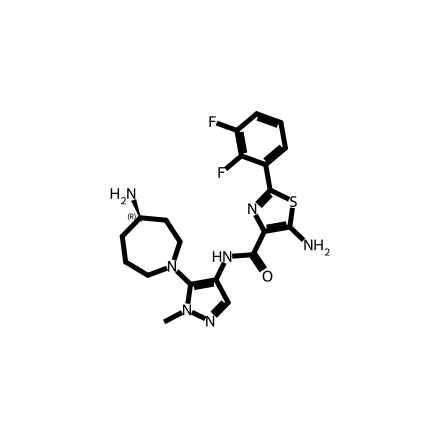 Cn1ncc(NC(=O)c2nc(-c3cccc(F)c3F)sc2N)c1N1CCC[C@@H](N)CC1